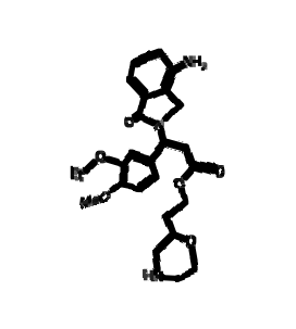 CCOc1cc(C(CC(=O)OCCC2CNCCO2)N2Cc3c(N)cccc3C2=O)ccc1OC